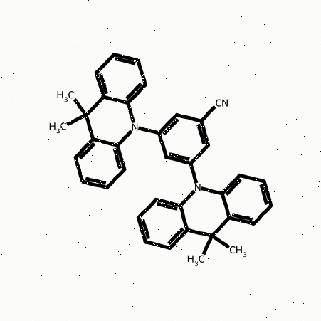 CC1(C)c2ccccc2N(c2cc(C#N)cc(N3c4ccccc4C(C)(C)c4ccccc43)c2)c2ccccc21